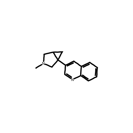 CN1CC2CC2(c2cnc3ccccc3c2)C1